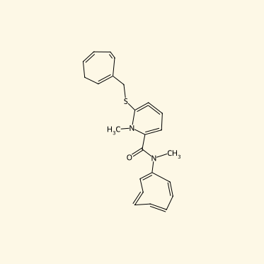 CN1C(SCC2=CCC=CC=C2)=C=CC=C1C(=O)N(C)C1=C/C=C/C=C/C=C\1